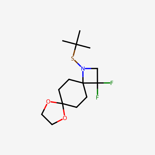 CC(C)(C)SN1CC(F)(F)C12CCC1(CC2)OCCO1